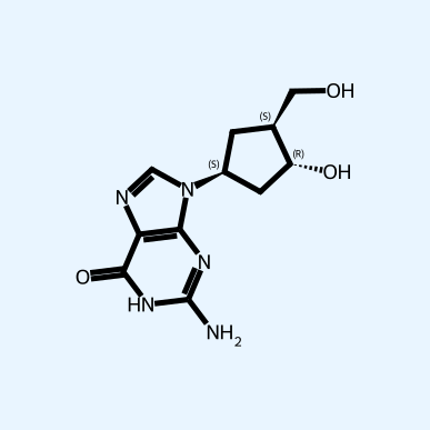 Nc1nc2c(ncn2[C@H]2C[C@@H](CO)[C@H](O)C2)c(=O)[nH]1